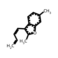 C=C/C=C\c1c(C)oc2cc(C)ccc12